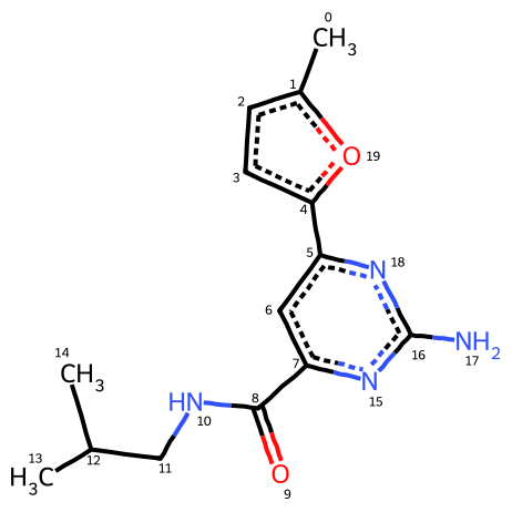 Cc1ccc(-c2cc(C(=O)NCC(C)C)nc(N)n2)o1